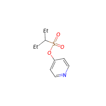 CCC(CC)S(=O)(=O)Oc1ccncc1